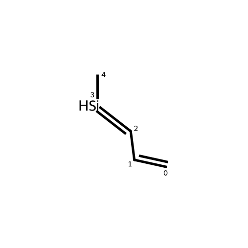 C=CC=[SiH]C